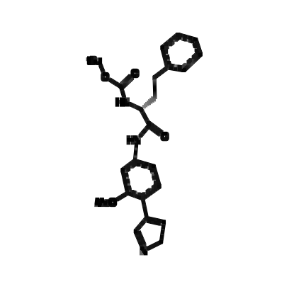 COc1cc(NC(=O)[C@@H](CCc2ccccc2)NC(=O)OC(C)(C)C)ccc1C1=CCN=C1